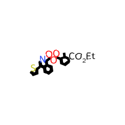 CCOC(=O)C1C=CC=C(C(=O)OC(=O)c2ncc(-c3cccs3)c3ccccc23)C1C